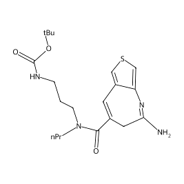 CCCN(CCCNC(=O)OC(C)(C)C)C(=O)C1=Cc2cscc2N=C(N)C1